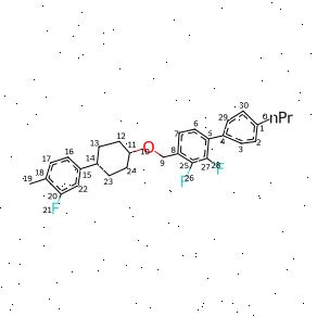 CCCc1ccc(-c2ccc(COC3CCC(c4ccc(C)c(F)c4)CC3)c(F)c2F)cc1